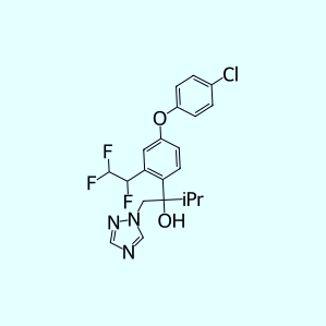 CC(C)C(O)(Cn1cncn1)c1ccc(Oc2ccc(Cl)cc2)cc1C(F)C(F)F